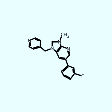 CN1CN(Cc2ccncc2)c2cc(-c3cccc(F)c3)cnc21